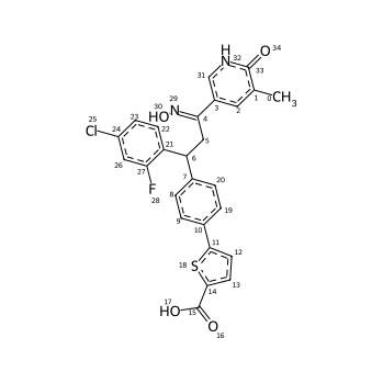 Cc1cc(/C(CC(c2ccc(-c3ccc(C(=O)O)s3)cc2)c2ccc(Cl)cc2F)=N/O)c[nH]c1=O